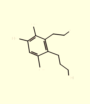 CCCCc1c(C)cc(O)c(O)c1CCC